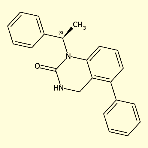 C[C@H](c1ccccc1)N1C(=O)NCc2c(-c3ccccc3)cccc21